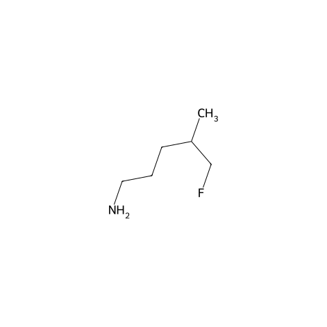 CC(CF)CCCN